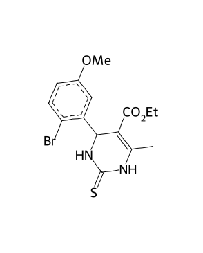 CCOC(=O)C1=C(C)NC(=S)NC1c1cc(OC)ccc1Br